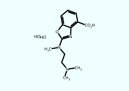 CN(C)CCN(C)c1nc2c(C(=O)O)cccc2o1.Cl.Cl